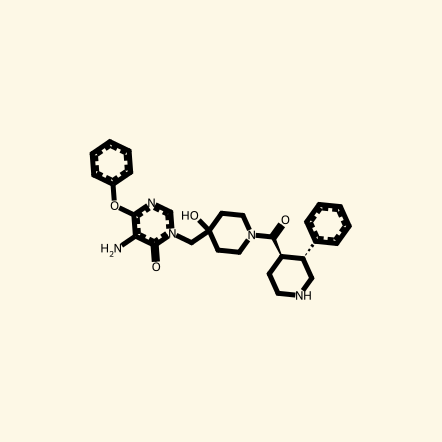 Nc1c(Oc2ccccc2)ncn(CC2(O)CCN(C(=O)[C@@H]3CCNC[C@H]3c3ccccc3)CC2)c1=O